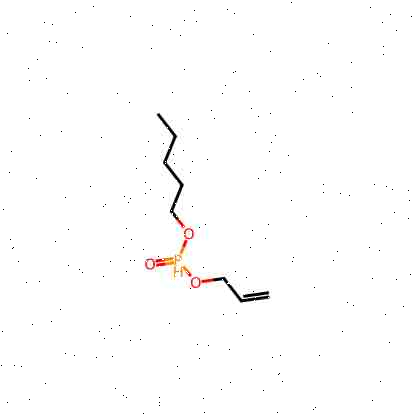 C=CCO[PH](=O)OCCCCC